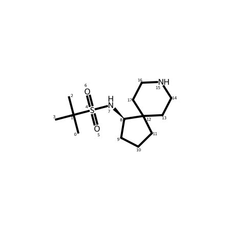 CC(C)(C)S(=O)(=O)N[C@@H]1CCCC12CCNCC2